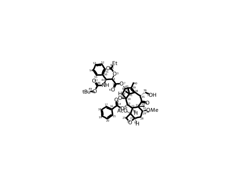 CCC(=O)O[C@@H](C(=O)O[C@H]1C[C@@]2(O)[C@@H](OC(=O)c3ccccc3)[C@@H]3[C@]4(OC(C)=O)CO[C@@H]4C[C@H](OC)[C@@]3(C)C(=O)[C@@H](CO)C(=C1C)C2(C)C)[C@@H](NC(=O)OC(C)(C)C)c1ccccc1